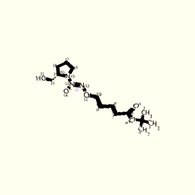 CC(C)(C)OC(=O)CCCCO/N=[N+](\[O-])N1CCC[C@H]1CO